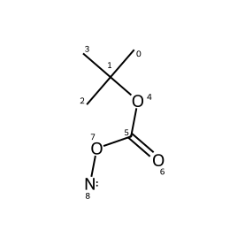 CC(C)(C)OC(=O)O[N]